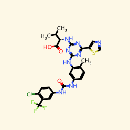 Cc1ccc(NC(=O)Nc2ccc(Cl)c(C(F)(F)F)c2)cc1Nc1nc(N[C@H](C(=O)O)C(C)C)nc(-c2cncs2)n1